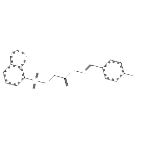 O=C(CNS(=O)(=O)c1cccc2nsnc12)N/N=C/c1ccc(Cl)cc1